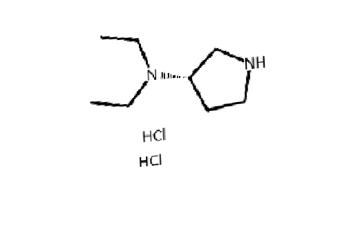 CCN(CC)[C@H]1CCNC1.Cl.Cl